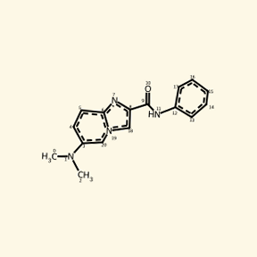 CN(C)c1ccc2nc(C(=O)Nc3ccccc3)cn2c1